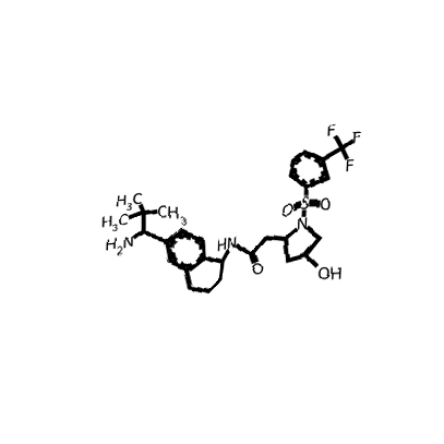 CC(C)(C)C(N)c1ccc2c(c1)CCCC2NC(=O)CC1CC(O)CN1S(=O)(=O)c1cccc(C(F)(F)F)c1